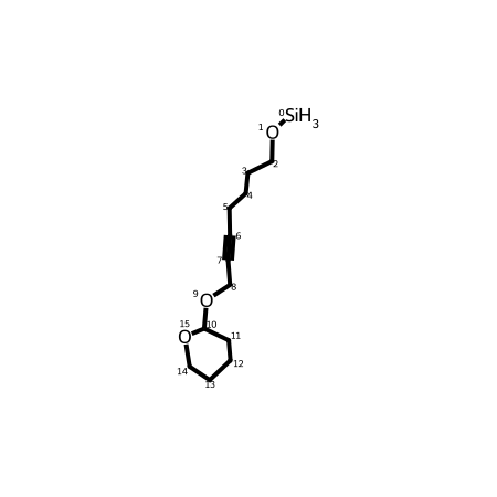 [SiH3]OCCCCC#CCOC1CCCCO1